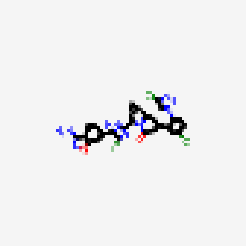 Nc1noc2cc(-c3[nH]c(C4C5CC5c5cc(-c6cc(Cl)ccc6-n6cc(Cl)nn6)cc(=O)n54)nc3F)ccc12